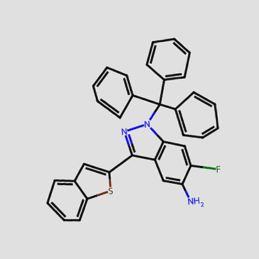 Nc1cc2c(-c3cc4ccccc4s3)nn(C(c3ccccc3)(c3ccccc3)c3ccccc3)c2cc1F